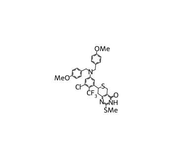 COc1ccc(CN(Cc2ccc(OC)cc2)c2cc(Cl)c(C(F)(F)F)c(C3Cc4nc(SC)[nH]c(=O)c4CS3)c2)cc1